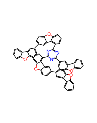 c1ccc2c(c1)oc1ccc(-c3ccc4oc5cccc(-c6nc(-c7ccc8oc9ccccc9c8c7)nc(-c7cccc8oc9ccc(-c%10ccc%11oc%12ccccc%12c%11c%10)cc9c78)n6)c5c4c3)cc12